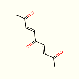 CC(=O)C=CC(=O)C=CC(C)=O